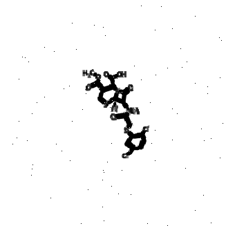 COC(=O)C1=C(C(=O)O)N2C(=O)C(NC(=O)CSc3cc(Cl)ccc3Cl)[C@H]2SC1